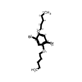 CCCCCOc1cc(Br)c(OCCCCC)cc1Br